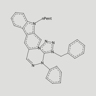 CCCCCn1c2ccccc2c2cc(/C=N\N(c3ccccc3)c3nnnn3Cc3ccccc3)ccc21